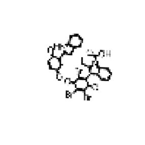 CCc1c(C2=C(Br)C(=O)C(Br)=C(Br)C2=O)c2ccccc2n1C(=O)O.O=C1C=CC(=O)C(c2cc3ccccc3[nH]2)=C1